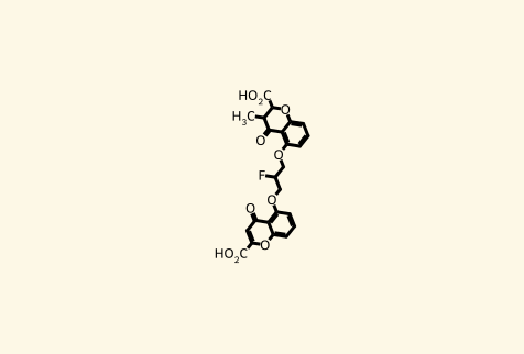 CC1C(=O)c2c(OCC(F)COc3cccc4oc(C(=O)O)cc(=O)c34)cccc2OC1C(=O)O